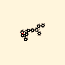 c1ccc(-c2cccc(-c3cc(-c4ccc(-c5ccc6nc(-c7ccccc7)c7c(ccc8c7c7ccccc7n8-c7ccccc7)c6c5)cc4)nc(-c4ccccc4)n3)c2)cc1